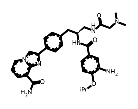 CC(C)Oc1ccc(C(=O)N[C@H](CNC(=O)CN(C)C)Cc2ccc(-c3cn4cccc(C(N)=O)c4n3)cc2)cc1N